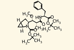 CO[C@H]([C@@H](C)C(=O)N[C@@H](Cc1ccccc1)C(=O)OC(C)(C)C)[C@@H]1C[C@@H]2C[C@@H]2N1C(=O)OC(C)(C)C